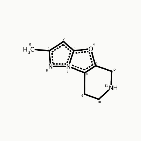 Cc1cc2oc3c(n2n1)CCNC3